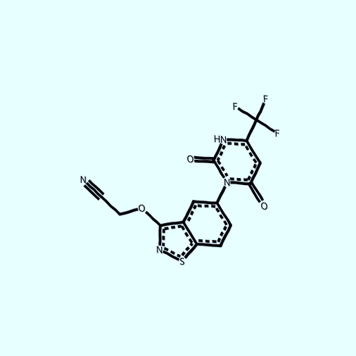 N#CCOc1nsc2ccc(-n3c(=O)cc(C(F)(F)F)[nH]c3=O)cc12